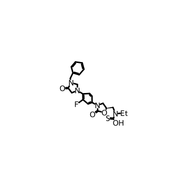 CCN(C[C@@H]1CN(c2ccc(N3CC(=O)N(Cc4ccccc4)C3)c(F)c2)C(=O)O1)C(O)=S